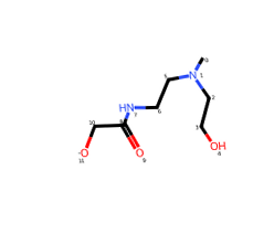 CN(CCO)CCNC(=O)C[O]